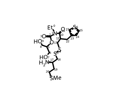 CCN(C(=O)OC(CO)CO)C(=O)C(CSSCC(N)CCSC)Cc1ccsc1